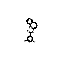 O=C(OC1=CN=Cc2ccccc2N1)c1cc(F)cc(F)c1